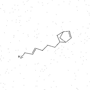 CCC=CCCCC1CC2C=CC1C2